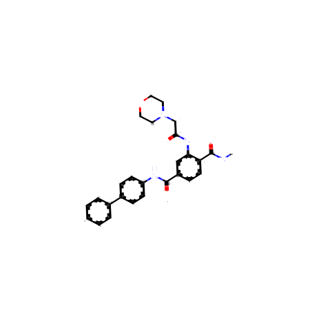 CCNC(=O)c1ccc(C(=O)Nc2ccc(-c3ccccc3)cc2)cc1NC(=O)CN1CCOCC1